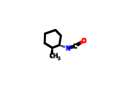 C[C@H]1CCCC[C@@H]1N=C=O